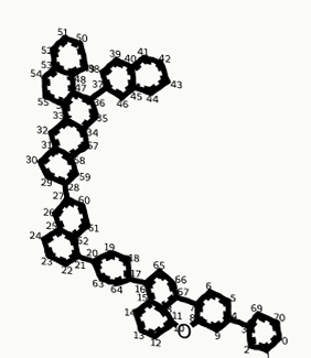 c1ccc(-c2ccc3c(c2)Oc2cccc4c(-c5ccc(-c6cccc7cc(-c8ccc9cc%10c(cc(-c%11ccc%12ccccc%12c%11)c%11c%12ccccc%12ccc%10%11)cc9c8)ccc67)cc5)ccc-3c24)cc1